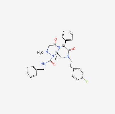 CN1CC(=O)N2[C@@H](c3ccccc3)C(=O)N(CCc3ccc(F)cc3)C[C@@H]2N1C(=O)NCc1ccccc1